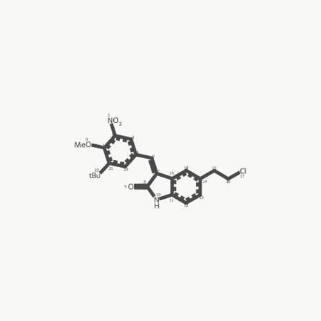 COc1c([N+](=O)[O-])cc(C=C2C(=O)Nc3ccc(CCCl)cc32)cc1C(C)(C)C